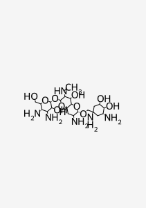 CNC1C(O[C@H]2OC(CO)[C@@H](N)C(N)C2O)O[C@H]2CC(N)[C@@H](OCC3(N)CC(O)C(O)[C@H](N)C3)OC2C1O